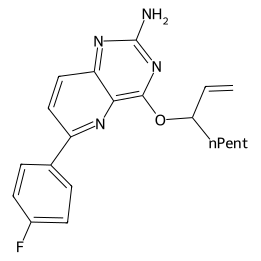 C=CC(CCCCC)Oc1nc(N)nc2ccc(-c3ccc(F)cc3)nc12